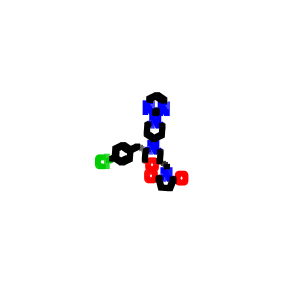 O=C1CCC(=O)N1C[C@H]1CN(C2CCN(c3ncccn3)CC2)[C@@H](Cc2ccc(Cl)cc2)CO1